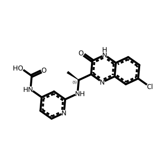 C[C@H](Nc1cc(NC(=O)O)ccn1)c1nc2cc(Cl)ccc2[nH]c1=O